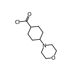 O=C(Cl)C1CCC(N2CCOCC2)CC1